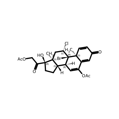 CC(=O)OCC(=O)[C@@]1(O)CC[C@H]2[C@@H]3C=C(OC(C)=O)C4=CC(=O)C=C[C@]4(C)[C@@]3(Br)[C@@H](Cl)C[C@@]21C